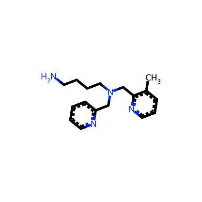 Cc1cccnc1CN(CCCCN)Cc1ccccn1